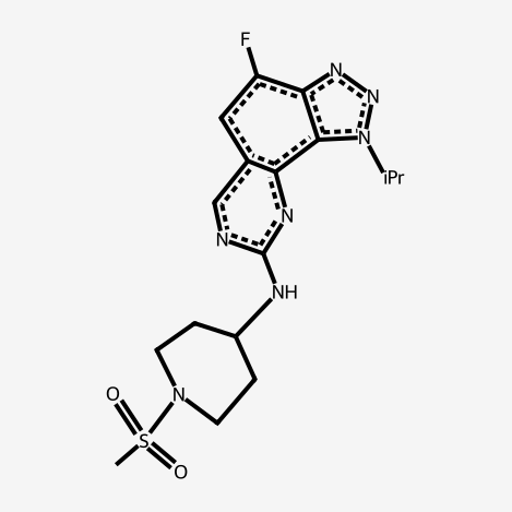 CC(C)n1nnc2c(F)cc3cnc(NC4CCN(S(C)(=O)=O)CC4)nc3c21